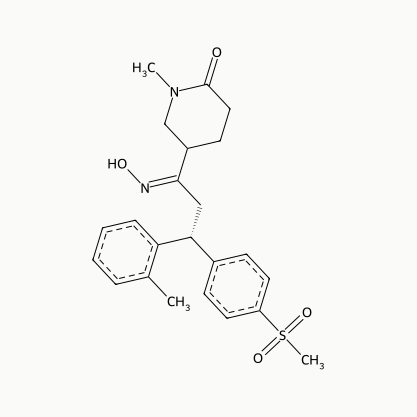 Cc1ccccc1[C@H](C/C(=N/O)C1CCC(=O)N(C)C1)c1ccc(S(C)(=O)=O)cc1